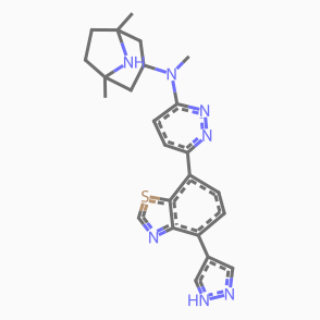 CN(c1ccc(-c2ccc(-c3cn[nH]c3)c3ncsc23)nn1)C1CC2(C)CCC(C)(C1)N2